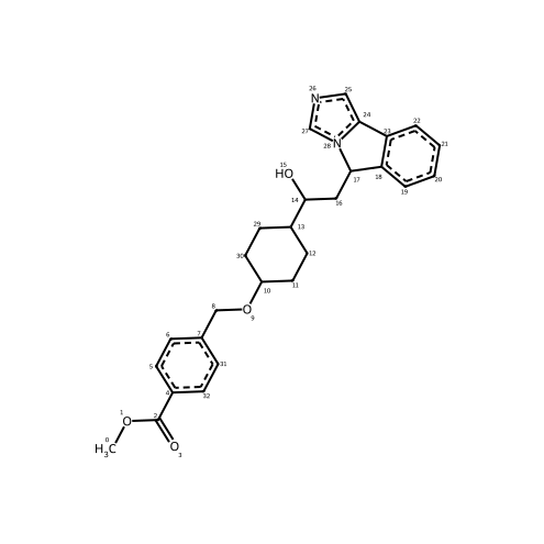 COC(=O)c1ccc(COC2CCC(C(O)CC3c4ccccc4-c4cncn43)CC2)cc1